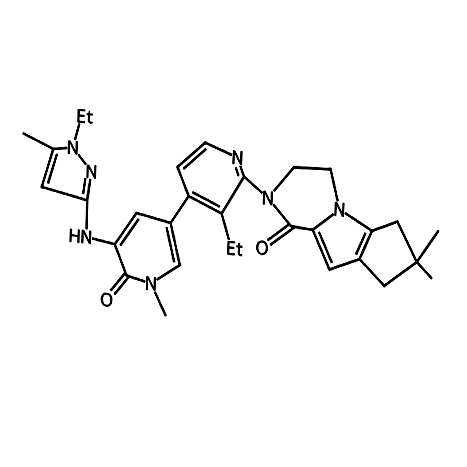 CCc1c(-c2cc(Nc3cc(C)n(CC)n3)c(=O)n(C)c2)ccnc1N1CCn2c(cc3c2CC(C)(C)C3)C1=O